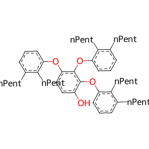 CCCCCc1cccc(Oc2ccc(O)c(Oc3cccc(CCCCC)c3CCCCC)c2Oc2cccc(CCCCC)c2CCCCC)c1CCCCC